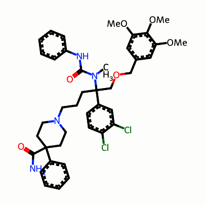 COc1cc(COCC(CCCN2CCC(C(N)=O)(c3ccccc3)CC2)(c2ccc(Cl)c(Cl)c2)N(C)C(=O)Nc2ccccc2)cc(OC)c1OC